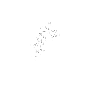 Cc1ccccc1C1c2cn[nH]c2CCN1c1ncnc2c1nc(C(=O)NCC1CC1)n2C